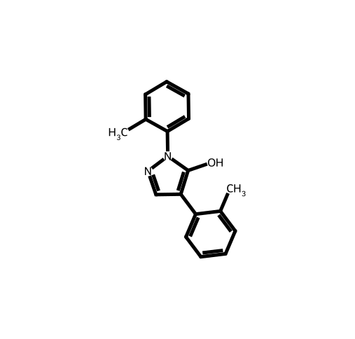 Cc1ccccc1-c1cnn(-c2ccccc2C)c1O